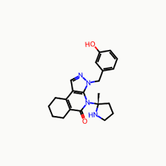 C[C@@]1(n2c(=O)c3c(c4cnn(Cc5cccc(O)c5)c42)CCCC3)CCCN1